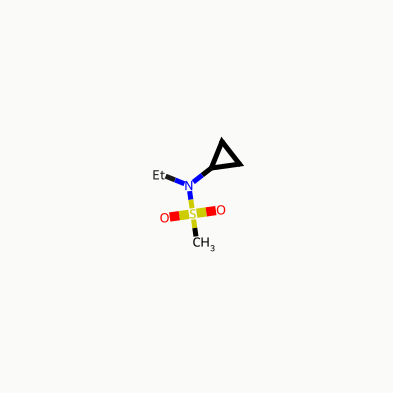 CCN(C1CC1)S(C)(=O)=O